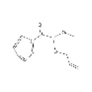 C=CCOC(OC)C(=O)c1ccccc1